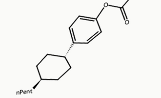 CCCCCC(=O)Oc1ccc([C@H]2CC[C@H](CCCCC)CC2)cc1